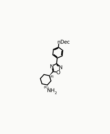 CCCCCCCCCCc1ccc(-c2noc([C@@H]3CCC[C@@H](N)C3)n2)cc1